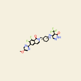 COc1cnc(-c2cc3ccn(C[C@@H]4CCC[C@H](Nc5cn[nH]c(=O)c5C(F)(F)F)C4)c(=O)c3c(F)c2F)nc1